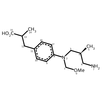 COCN(C[C@@H](C)CN)c1ccc(CC(C)C(=O)O)cc1